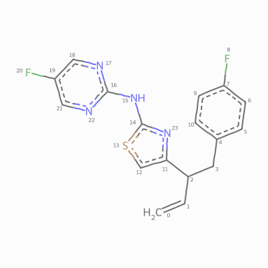 C=CC(Cc1ccc(F)cc1)c1csc(Nc2ncc(F)cn2)n1